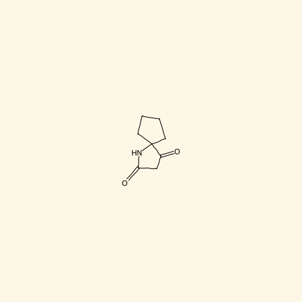 O=C1CC(=O)C2(CCCC2)N1